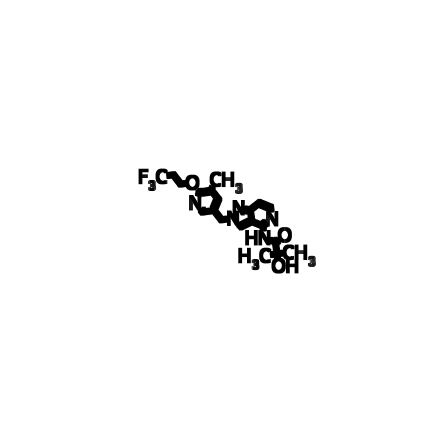 Cc1cc(Cn2cc3c(NC(=O)C(C)(C)O)nccc3n2)cnc1OCCC(F)(F)F